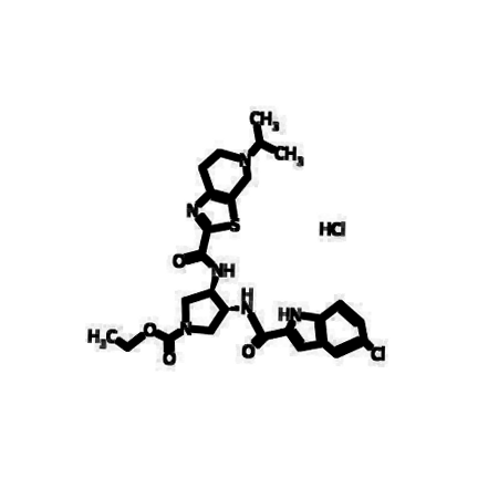 CCOC(=O)N1C[C@@H](NC(=O)c2cc3cc(Cl)ccc3[nH]2)[C@H](NC(=O)c2nc3c(s2)CN(C(C)C)CC3)C1.Cl